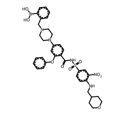 O=C(NS(=O)(=O)c1ccc(NCC2CCOCC2)c([N+](=O)[O-])c1)c1ccc(N2CCN(Cc3ccccc3B(O)O)CC2)cc1Oc1ccccc1